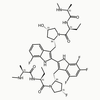 CC[C@H](NC(=O)[C@H](C)NC)C(=O)N1C[C@@H](O)C[C@H]1Cc1c(-c2[nH]c3c(F)c(F)cc(F)c3c2C[C@@H]2C[C@H](F)CN2C(=O)[C@H](CC)NC(=O)[C@H](C)NC)[nH]c2c(F)cccc12